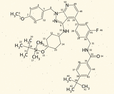 COc1ccc(Cn2nc(NC3CCC(O[Si](C)(C)C(C)(C)C)CC3)c3c(-c4ccc(CNC(=O)c5ccc(C(C)(C)C)cc5)c(F)c4)ccnc32)cc1